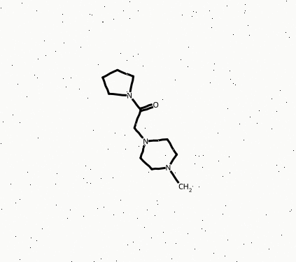 [CH2]N1CCN(CC(=O)N2CCCC2)CC1